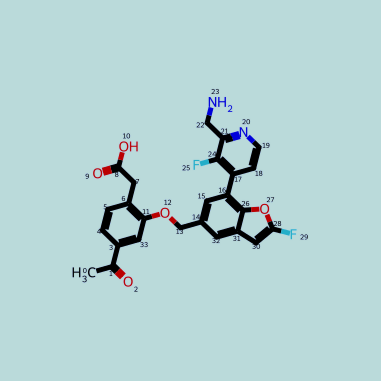 CC(=O)c1ccc(CC(=O)O)c(OCc2cc(-c3ccnc(CN)c3F)c3oc(F)cc3c2)c1